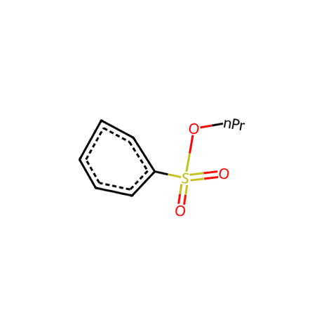 [CH2]CCOS(=O)(=O)c1ccccc1